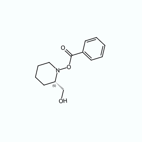 O=C(ON1CCCC[C@H]1CO)c1ccccc1